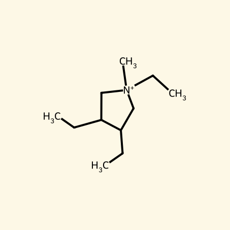 CCC1C[N+](C)(CC)CC1CC